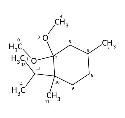 COC1(OC)CC(C)CCC1(C)C(C)C